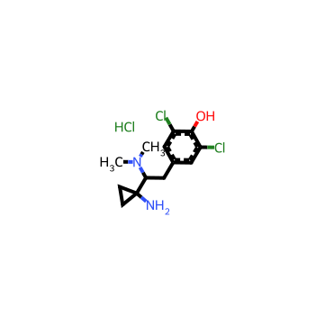 CN(C)C(Cc1cc(Cl)c(O)c(Cl)c1)C1(N)CC1.Cl